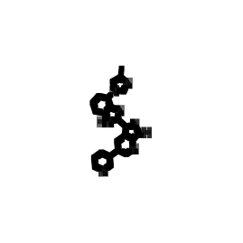 Cc1cn(-c2cccc3[nH]c(-c4n[nH]c5ncc(-c6cccnc6)cc45)nc23)cn1